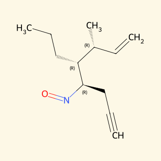 C#CC[C@@H](N=O)[C@H](CCC)[C@H](C)C=C